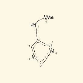 CNNc1cncnc1